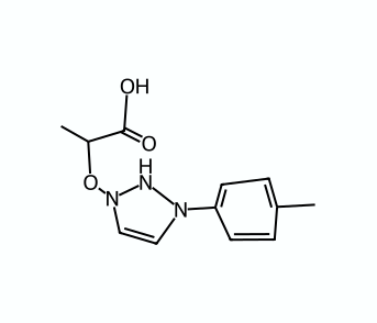 Cc1ccc(N2C=CN(OC(C)C(=O)O)N2)cc1